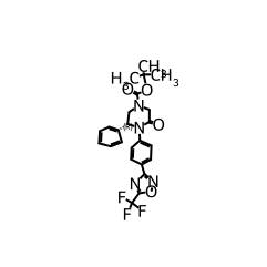 CC(C)(C)OC(=O)N1CC(=O)N(c2ccc(-c3noc(C(F)(F)F)n3)cc2)[C@H](c2ccccc2)C1